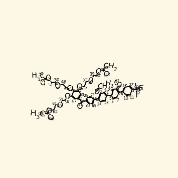 COc1cc(-c2ccc(-c3ccc(C(F)(F)F)cc3)c(OC)c2)ccc1-c1ccc(C(=O)c2cc(OCCOCCOC(C)=O)c(OCCOCCOC(C)=O)c(OCCOCCOC(C)=O)c2)cc1